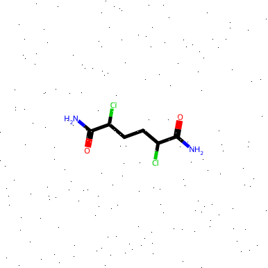 NC(=O)C(Cl)CCC(Cl)C(N)=O